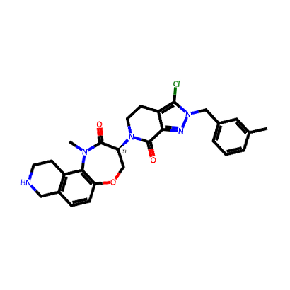 Cc1cccc(Cn2nc3c(c2Cl)CCN([C@H]2COc4ccc5c(c4N(C)C2=O)CCNC5)C3=O)c1